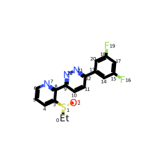 CC[S+]([O-])c1cccnc1-c1ccc(-c2cc(F)cc(F)c2)nn1